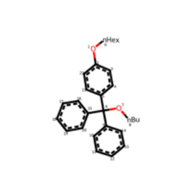 CCCCCCOc1ccc(C(OCCCC)(c2ccccc2)c2ccccc2)cc1